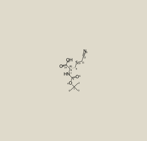 CC(C)(C)OC(=O)N[C@@H](CSCC#N)C(=O)O